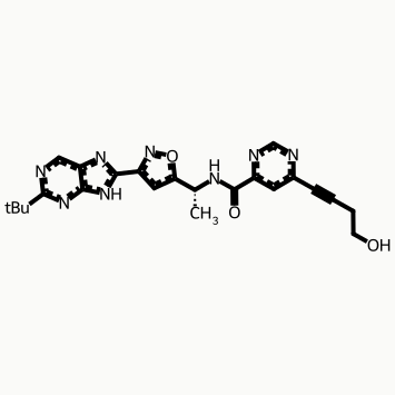 C[C@@H](NC(=O)c1cc(C#CCCO)ncn1)c1cc(-c2nc3cnc(C(C)(C)C)nc3[nH]2)no1